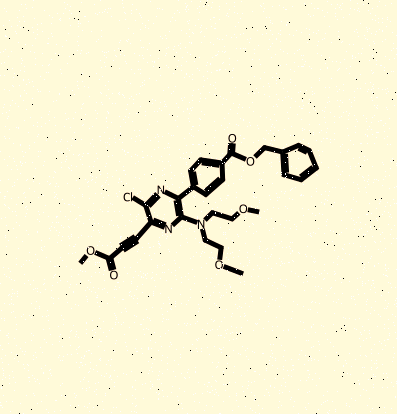 COCCN(CCOC)c1nc(C#CC(=O)OC)c(Cl)nc1-c1ccc(C(=O)OCc2ccccc2)cc1